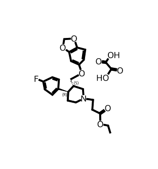 CCOC(=O)CCN1CC[C@@H](c2ccc(F)cc2)[C@H](COc2ccc3c(c2)OCO3)C1.O=C(O)C(=O)O